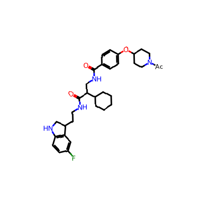 CC(=O)N1CCC(Oc2ccc(C(=O)NCC(C(=O)NCCC3CNc4ccc(F)cc43)C3CCCCC3)cc2)CC1